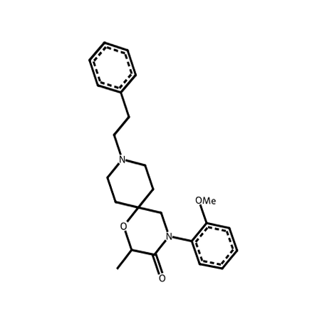 COc1ccccc1N1CC2(CCN(CCc3ccccc3)CC2)OC(C)C1=O